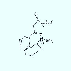 CCCNC1CCCc2cccc(C(=O)CC(=O)OC(C)(C)C)c21